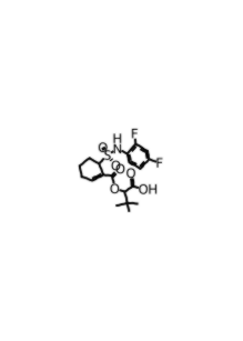 CC(C)(C)C(OC(=O)C1=CCCCC1S(=O)(=O)Nc1ccc(F)cc1F)C(=O)O